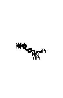 CCCc1nc(CCC(C)C)n(Cc2ccc(Cc3cccc(-c4nnn[nH]4)c3)cc2)n1